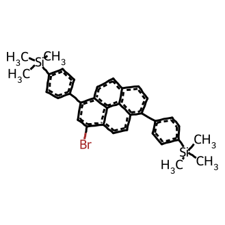 C[Si](C)(C)c1ccc(-c2ccc3ccc4c(-c5ccc([Si](C)(C)C)cc5)cc(Br)c5ccc2c3c54)cc1